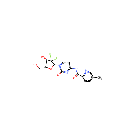 Cc1ccc(C(=O)Nc2ccn([C@@H]3O[C@H](CO)[C@@H](O)C3(F)F)c(=O)n2)nc1